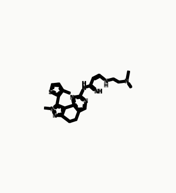 Cc1ccsc1-c1c2c(nn1C)CCc1cnc(NC(=N)/C=C\NCCN(C)C)nc1-2